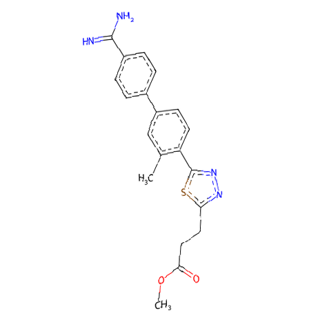 COC(=O)CCc1nnc(-c2ccc(-c3ccc(C(=N)N)cc3)cc2C)s1